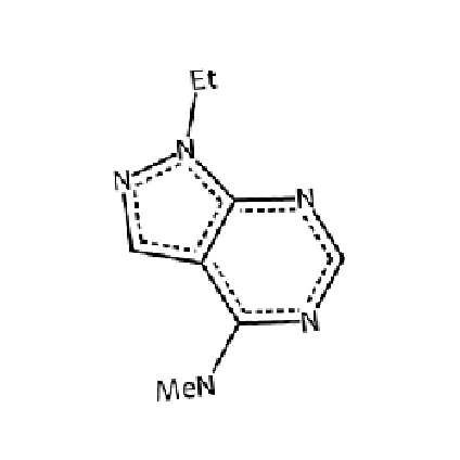 CCn1ncc2c(NC)ncnc21